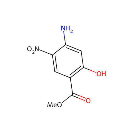 COC(=O)c1cc([N+](=O)[O-])c(N)cc1O